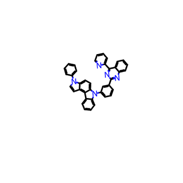 c1ccc(-n2ccc3c4c5ccccc5n(-c5cccc(-c6nc(-c7ccccn7)c7ccccc7n6)c5)c4ccc32)cc1